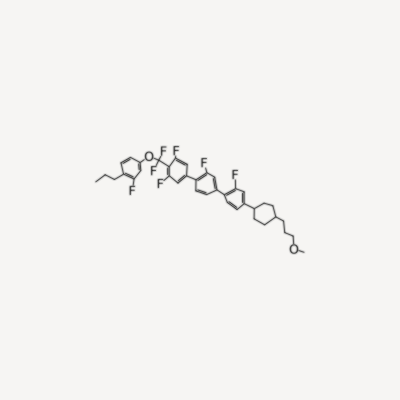 CCCc1ccc(OC(F)(F)c2c(F)cc(-c3ccc(-c4ccc(C5CCC(CCCOC)CC5)cc4F)cc3F)cc2F)cc1F